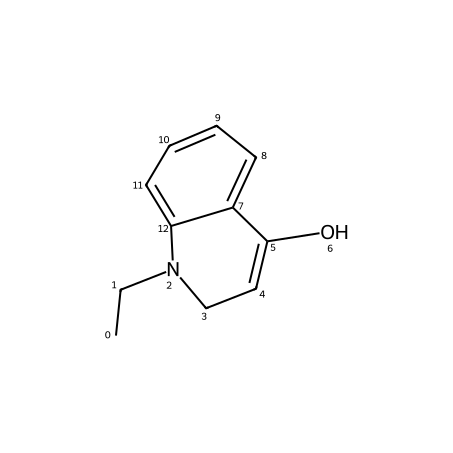 CCN1CC=C(O)c2ccccc21